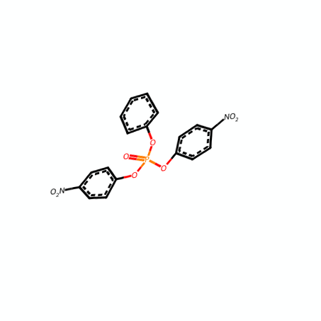 O=[N+]([O-])c1ccc(OP(=O)(Oc2ccccc2)Oc2ccc([N+](=O)[O-])cc2)cc1